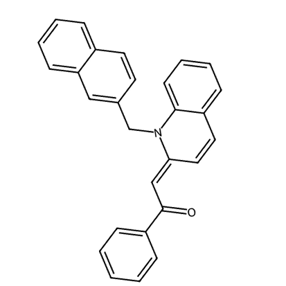 O=C(/C=C1\C=Cc2ccccc2N1Cc1ccc2ccccc2c1)c1ccccc1